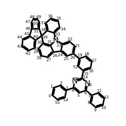 c1ccc(-c2cc(-c3ccccc3)nc(-c3cccc(-c4ccc5c(c4)c4cccc6c4n5-c4ccccc4C64c5ccccc5-c5ccccc54)c3)n2)cc1